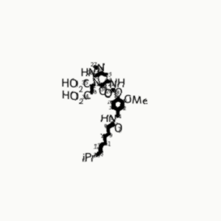 COc1cc(CNC(=O)CCCC/C=C/C(C)C)ccc1OC(=O)N[C@@H](Cc1c[nH]cn1)C(=O)N[C@@H](CC(=O)O)C(=O)O